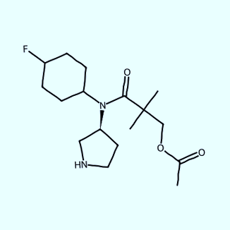 CC(=O)OCC(C)(C)C(=O)N(C1CCC(F)CC1)[C@H]1CCNC1